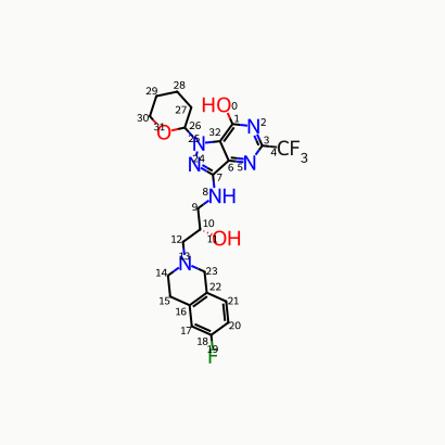 Oc1nc(C(F)(F)F)nc2c(NC[C@H](O)CN3CCc4cc(F)ccc4C3)nn(C3CCCCO3)c12